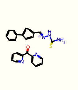 NC(=S)N/N=C/c1ccc(-c2ccccc2)cc1.O=C(c1ccccn1)c1ccccn1